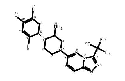 NC1CN(c2ccc3nnc(C(F)(F)F)n3n2)CC[C@@H]1C1CC(F)=C(F)C=C1F